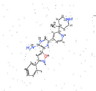 Cc1ccccc1-c1cc(-c2nc(-c3ccnc(C4(C#N)CCNCC4)c3)cnc2N)on1